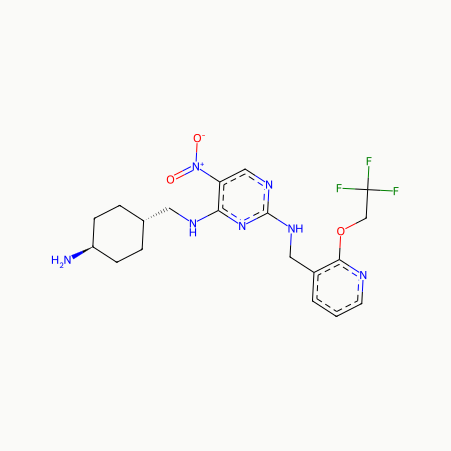 N[C@H]1CC[C@H](CNc2nc(NCc3cccnc3OCC(F)(F)F)ncc2[N+](=O)[O-])CC1